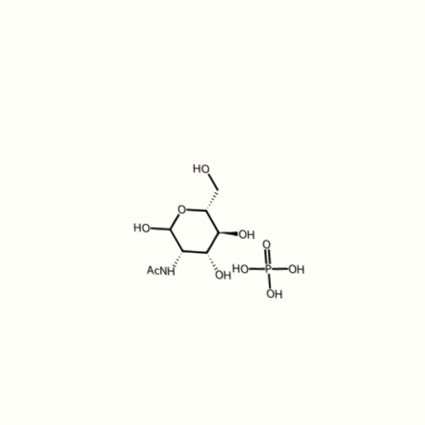 CC(=O)N[C@@H]1C(O)O[C@H](CO)[C@@H](O)[C@@H]1O.O=P(O)(O)O